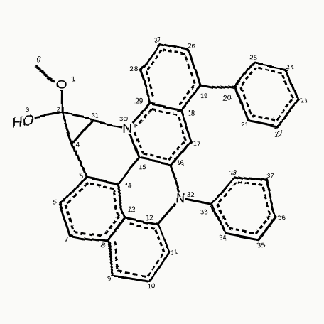 COC1(O)C2c3ccc4cccc5c4c3-c3c(cc4c(-c6ccccc6)cccc4[n+]3C21)N5c1ccccc1